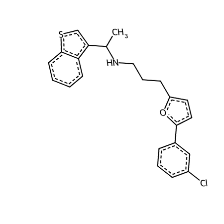 CC(NCCCc1ccc(-c2cccc(Cl)c2)o1)c1csc2ccccc12